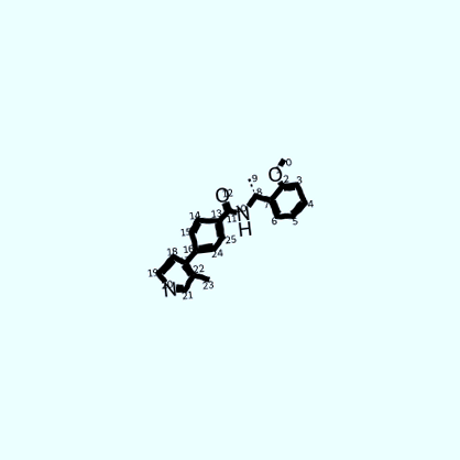 COc1ccccc1[C@@H](C)NC(=O)c1ccc(-c2ccncc2C)cc1